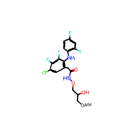 COCC(O)CONC(=O)c1cc(Cl)c(F)c(F)c1Nc1ccc(F)cc1F